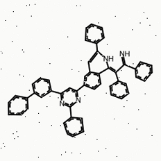 N=C(/C(=C1\NC(c2ccccc2)=Cc2cc(-c3cc(-c4cccc(-c5ccccc5)c4)nc(-c4ccccc4)n3)ccc21)c1ccccc1)c1ccccc1